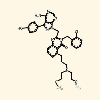 COCCN(CCCc1cccc2nc(Cn3nc(-c4ccc(O)cc4)c4c(N)ncnc43)n(Cc3ccccc3Cl)c(=O)c12)CCOC